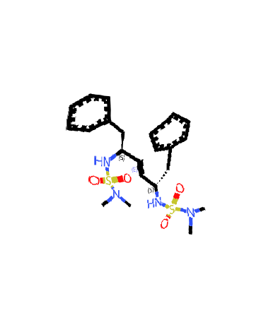 CN(C)S(=O)(=O)N[C@H](/C=C/[C@H](Cc1ccccc1)NS(=O)(=O)N(C)C)Cc1ccccc1